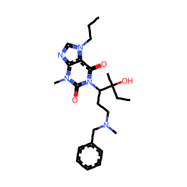 CCCn1cnc2c1c(=O)n(C(CCN(C)Cc1ccccc1)C(C)(O)CC)c(=O)n2C